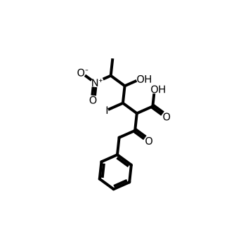 CC(C(O)C(I)C(C(=O)O)C(=O)Cc1ccccc1)[N+](=O)[O-]